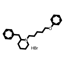 Br.c1ccc(CC2CCCCN2CCCCCOc2ccccc2)cc1